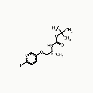 C[C@H](COc1ccc(F)nc1)NC(=O)OC(C)(C)C